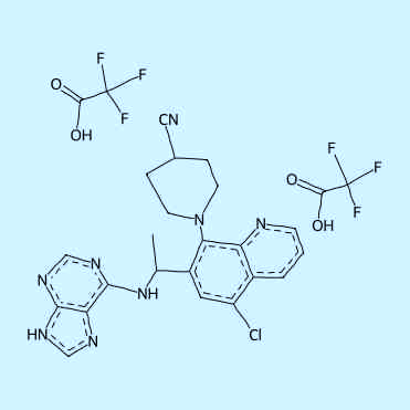 CC(Nc1ncnc2[nH]cnc12)c1cc(Cl)c2cccnc2c1N1CCC(C#N)CC1.O=C(O)C(F)(F)F.O=C(O)C(F)(F)F